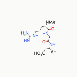 CNC(CCCNC(=N)N)C(=O)NCC(=O)NC(CC(=O)O)C(C)=O